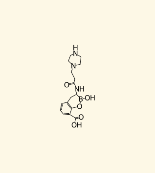 O=C(CCN1CCNCC1)NC1Cc2cccc(C(=O)O)c2OB1O